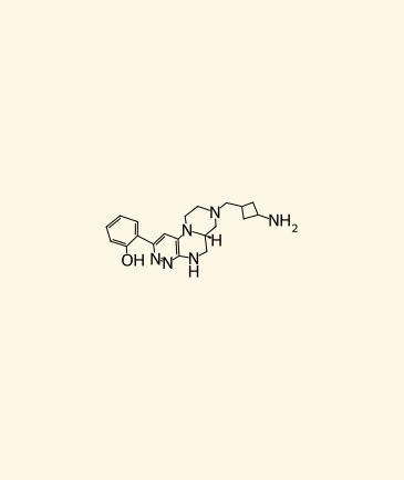 NC1CC(CN2CCN3c4cc(-c5ccccc5O)nnc4NC[C@H]3C2)C1